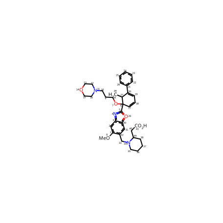 COc1cc2nc(C3(OCCCN4CCOCC4)C=CC=C(c4ccccc4)C3C)oc2cc1CN1CCCCC1CC(=O)O